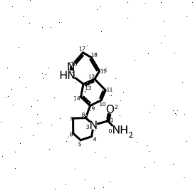 NC(=O)N1CCCCC1c1ccc2c(c1)NN=CC=C2